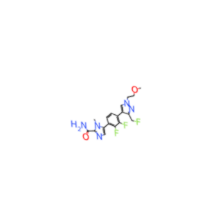 COCCn1cc(-c2ccc(-c3cnc(C(N)=O)n3C)c(F)c2F)c(CF)n1